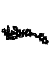 CC(C)(c1ccc(OC[C@H](O)CN2CCOCC2)cc1)c1cc(Cl)c(OCC(O)(O)CCl)c(Cl)c1